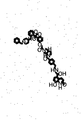 O=C(COc1cccc([C@@](O)(C(=O)O)c2ccccc2CC2CCN(Cc3ccccc3)CC2)c1)N1C[C@H]2CCN(C(=O)c3ccc(CCNC[C@H](O)c4ccc(O)c5[nH]c(=O)ccc45)cc3)[C@H]2C1